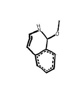 COC1NC=Cc2ccc[c]c21